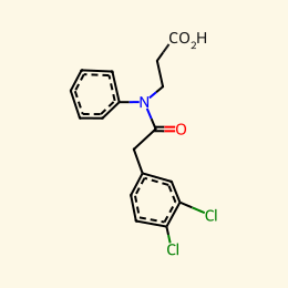 O=C(O)CCN(C(=O)Cc1ccc(Cl)c(Cl)c1)c1ccccc1